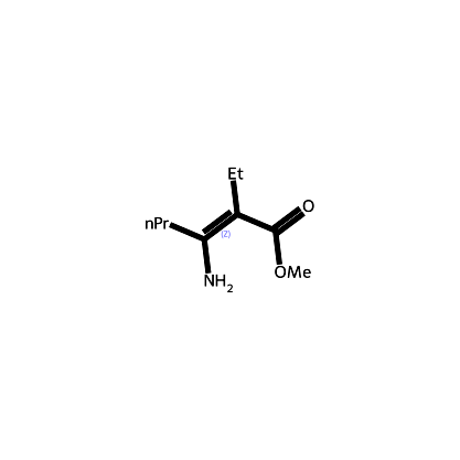 CCC/C(N)=C(\CC)C(=O)OC